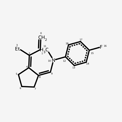 C=C/C(CC)=C1/CCC/C1=C/N(C)c1ccc(F)cc1